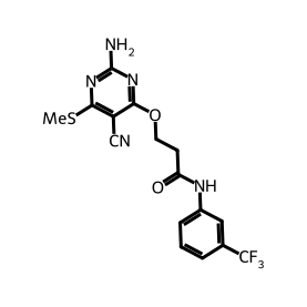 CSc1nc(N)nc(OCCC(=O)Nc2cccc(C(F)(F)F)c2)c1C#N